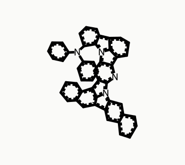 c1ccc(N(c2ccccc2)c2cccc3c4cccc5c6nc7c(cc6n(c23)c45)c2c3ccccc3cc3c4cc5ccccc5cc4n7c32)cc1